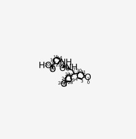 COc1ccc(C(CCNC(=O)Nc2cccc(C(=O)O)c2)c2ccc(OC)cc2)cc1